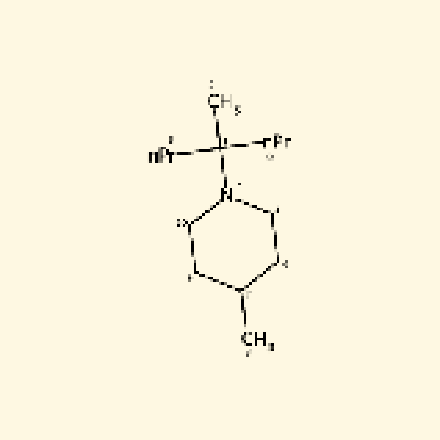 CCCC(C)(CCC)N1CCC(C)CC1